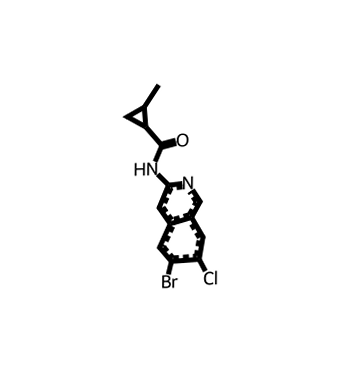 CC1CC1C(=O)Nc1cc2cc(Br)c(Cl)cc2cn1